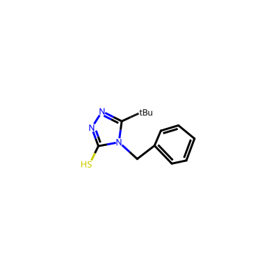 CC(C)(C)c1nnc(S)n1Cc1ccccc1